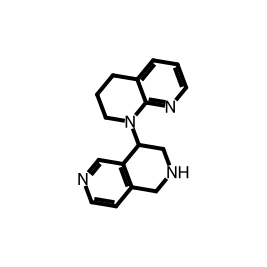 c1cnc2c(c1)CCCN2C1CNCc2ccncc21